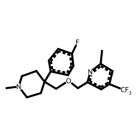 Cc1cc(C(F)(F)F)cc(COCC2(c3ccc(F)cc3)CCN(C)CC2)n1